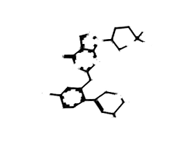 O=c1[nH]c(Cc2cc(F)ccc2C2=CC(F)CNC2)nc2c1cnn2C1CCC(F)(F)CC1